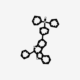 O=P(c1ccccc1)(c1ccccc1)c1ccc(-c2ccc3c(c2)nc(-c2ccccc2)c2oc4ccccc4c23)cc1